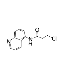 O=C(CCCl)Nc1cccc2ncccc12